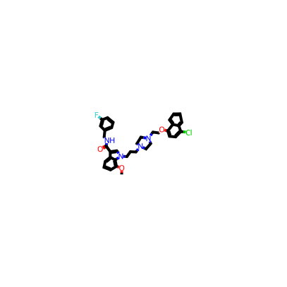 COc1cccc2c(C(=O)NCc3cccc(F)c3)cn(CCCN3CCN(CCOc4ccc(Cl)c5ccccc45)CC3)c12